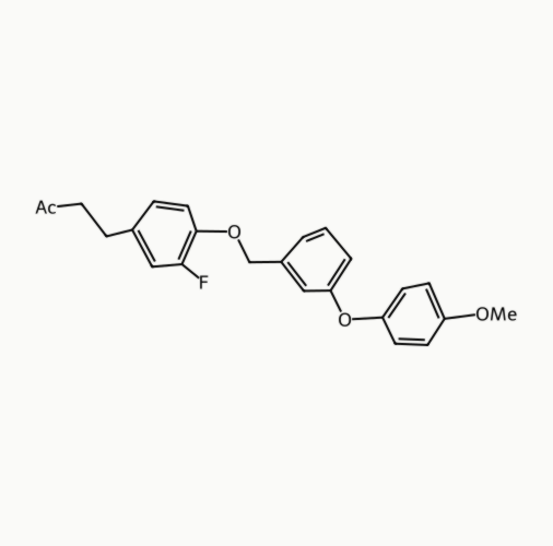 COc1ccc(Oc2cccc(COc3ccc(CCC(C)=O)cc3F)c2)cc1